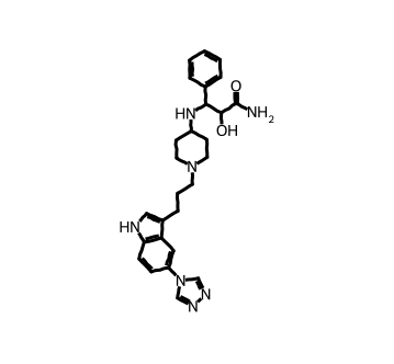 NC(=O)C(O)C(NC1CCN(CCCc2c[nH]c3ccc(-n4cnnc4)cc23)CC1)c1ccccc1